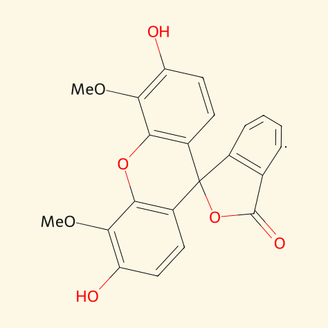 COc1c(O)ccc2c1Oc1c(ccc(O)c1OC)C21OC(=O)c2[c]cccc21